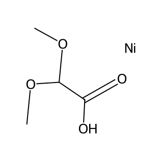 COC(OC)C(=O)O.[Ni]